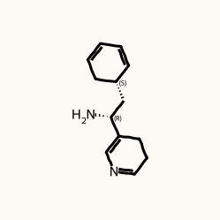 N[C@H](C[C@H]1C=CC=CC1)C1=CN=CCC1